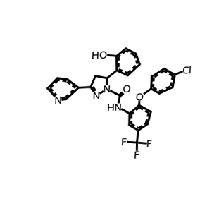 O=C(Nc1cc(C(F)(F)F)ccc1Oc1ccc(Cl)cc1)N1N=C(c2cccnc2)CC1c1ccccc1O